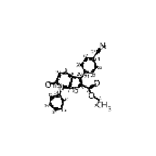 CCOC(=O)c1sc2c(ccc(=O)n2-c2ccccc2)c1-c1ccc(C#N)cc1